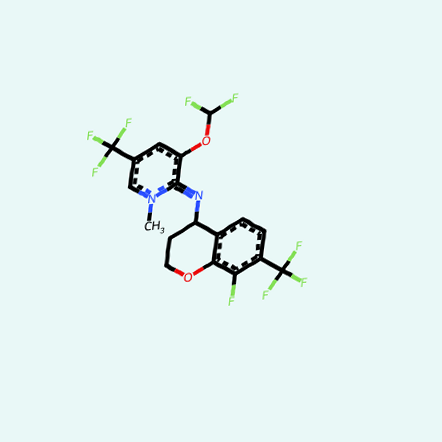 Cn1cc(C(F)(F)F)cc(OC(F)F)/c1=N/C1CCOc2c1ccc(C(F)(F)F)c2F